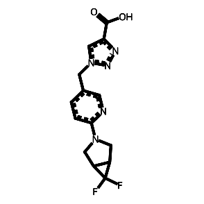 O=C(O)c1cn(Cc2ccc(N3CC4C(C3)C4(F)F)nc2)nn1